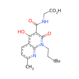 Cc1ccc2c(O)c(C(=O)NCC(=O)O)c(=O)n(CCC(C)(C)C)c2n1